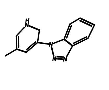 CC1=CNCC(n2nnc3ccccc32)=C1